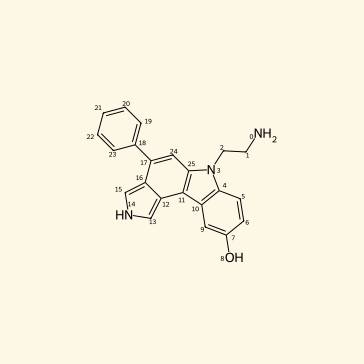 NCCn1c2ccc(O)cc2c2c3c[nH]cc3c(-c3ccccc3)cc21